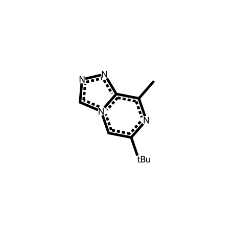 Cc1nc(C(C)(C)C)cn2cnnc12